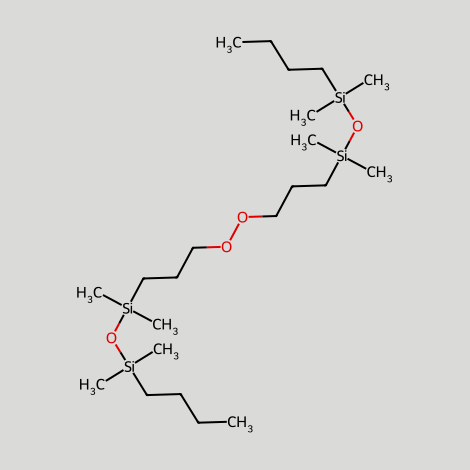 CCCC[Si](C)(C)O[Si](C)(C)CCCOOCCC[Si](C)(C)O[Si](C)(C)CCCC